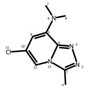 Cc1nnc2c(N(C)C)cc(Cl)cn12